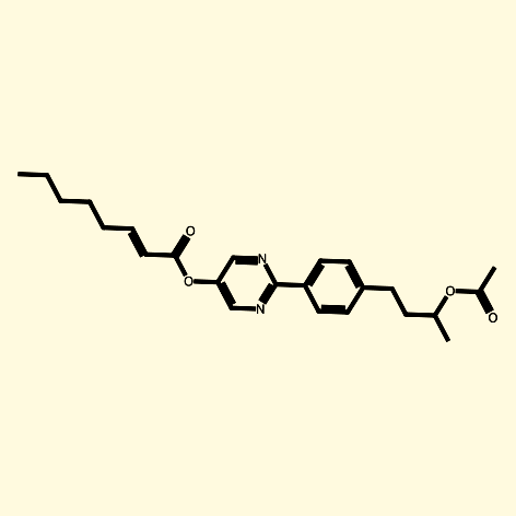 CCCCCC=CC(=O)Oc1cnc(-c2ccc(CCC(C)OC(C)=O)cc2)nc1